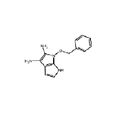 Nc1c(N)n(OCc2ccccc2)c2[nH]ccc12